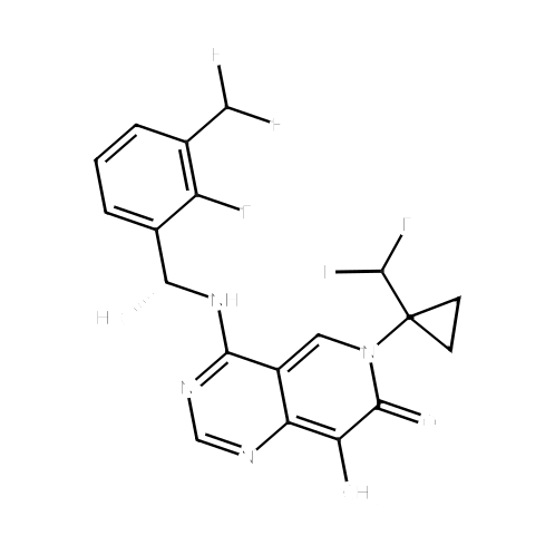 Cc1c(=O)n(C2(C(F)F)CC2)cc2c(N[C@H](C)c3cccc(C(F)F)c3F)ncnc12